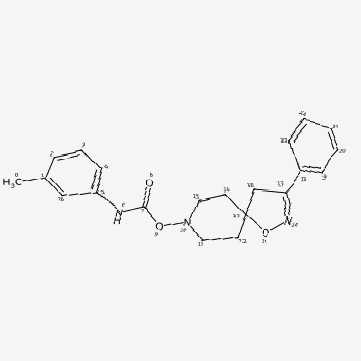 Cc1cccc(NC(=O)ON2CCC3(CC2)CC(c2ccccc2)=NO3)c1